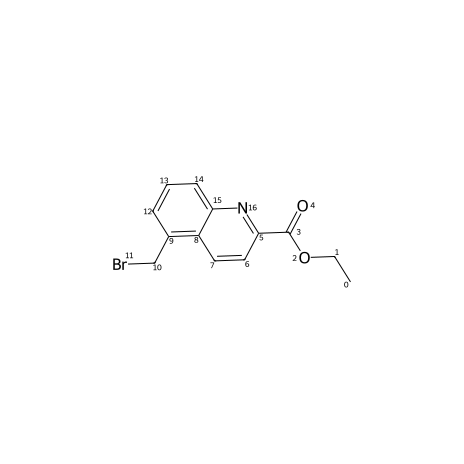 CCOC(=O)c1ccc2c(CBr)cccc2n1